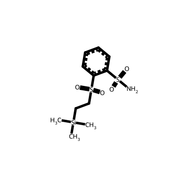 C[Si](C)(C)CCS(=O)(=O)c1ccccc1S(N)(=O)=O